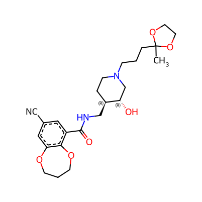 CC1(CCCN2CC[C@H](CNC(=O)c3cc(C#N)cc4c3OCCCO4)[C@@H](O)C2)OCCO1